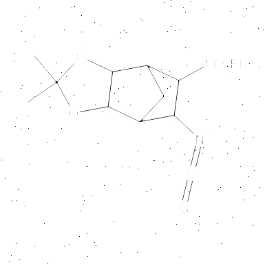 CCOC(=O)C1C2CC(C1N=C=O)C1OC(C)(C)OC21